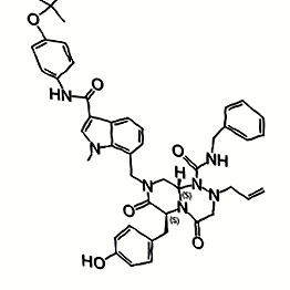 C=CCN1CC(=O)N2[C@@H](Cc3ccc(O)cc3)C(=O)N(Cc3cccc4c(C(=O)Nc5ccc(OC(C)(C)C)cc5)cn(C)c34)C[C@@H]2N1C(=O)NCc1ccccc1